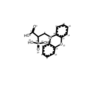 O=C(O)C(CN1c2ccccc2Oc2ccccc21)P(=O)(O)O